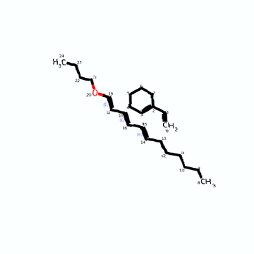 C=CC1=CCCCC1.CCCCCC/C=C/C=C/C=C/OCCCC